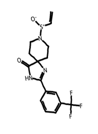 C=C[S+]([O-])N1CCC2(CC1)N=C(c1cccc(C(F)(F)F)c1)NC2=O